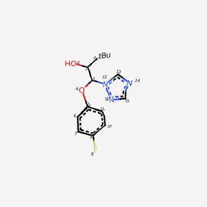 CC(C)(C)C(O)C(Oc1ccc(F)cc1)n1cncn1